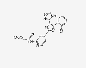 COCC(=O)Nc1cc(-c2nc(-c3nnc[nH]3)c(-c3ccccc3Cl)o2)ccn1